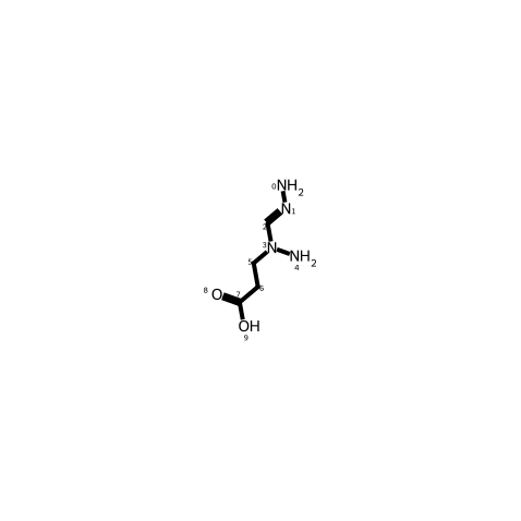 NN=CN(N)CCC(=O)O